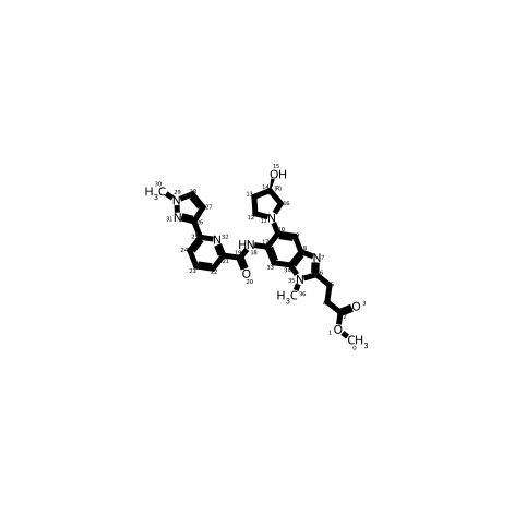 COC(=O)CCc1nc2cc(N3CC[C@@H](O)C3)c(NC(=O)c3cccc(-c4ccn(C)n4)n3)cc2n1C